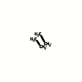 [CH2]C.[CH2]C